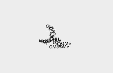 CNC.COc1cc(NC(=O)N[C@H]2CN(S(=O)(=O)O)C[C@@H]2N2CCC(Cc3ccc(Cl)cc3)CC2)cc(OC)c1OC.Cl